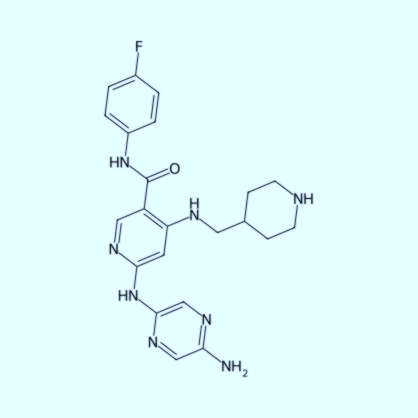 Nc1cnc(Nc2cc(NCC3CCNCC3)c(C(=O)Nc3ccc(F)cc3)cn2)cn1